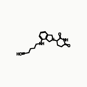 C#CCCCCNc1cccc2c1CN(C1CCC(=O)NC1=O)C2